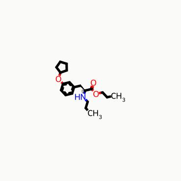 CCCN[C@@H](Cc1cccc(OC2CCCC2)c1)C(=O)OCCC